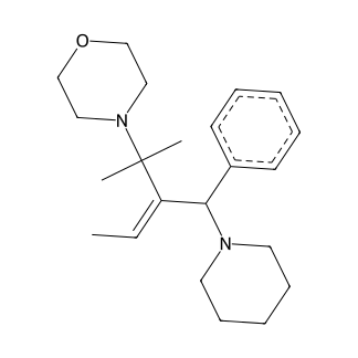 CC=C(C(c1ccccc1)N1CCCCC1)C(C)(C)N1CCOCC1